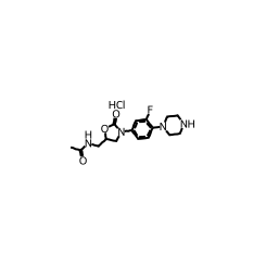 CC(=O)NCC1CN(c2ccc(N3CCNCC3)c(F)c2)C(=O)O1.Cl